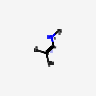 CCN/C=C(\CC)C(C)(C)C